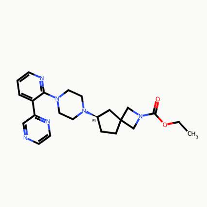 CCOC(=O)N1CC2(CC[C@@H](N3CCN(c4ncccc4-c4cnccn4)CC3)C2)C1